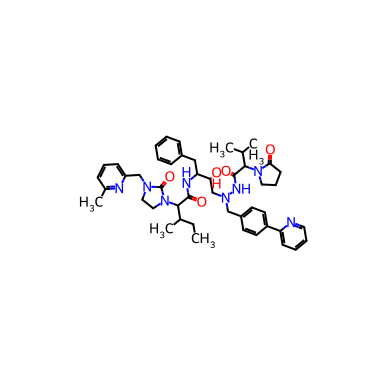 CCC(C)C(C(=O)NC(Cc1ccccc1)C(O)CN(Cc1ccc(-c2ccccn2)cc1)NC(=O)C(C(C)C)N1CCCC1=O)N1CCN(Cc2cccc(C)n2)C1=O